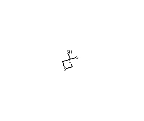 S[PH]1(S)CSC1